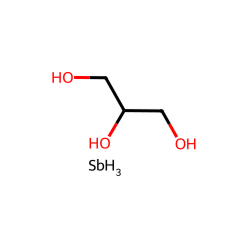 OCC(O)CO.[SbH3]